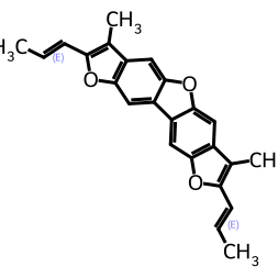 C/C=C/c1oc2cc3c(cc2c1C)oc1cc2c(C)c(/C=C/C)oc2cc13